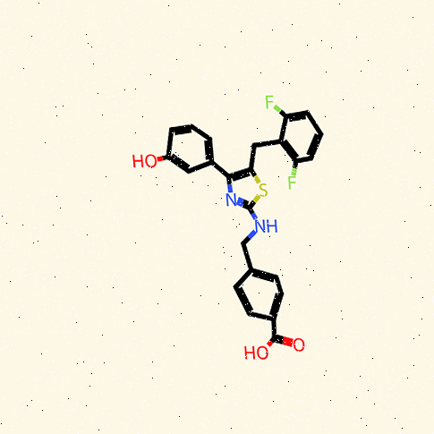 O=C(O)c1ccc(CNc2nc(-c3cccc(O)c3)c(Cc3c(F)cccc3F)s2)cc1